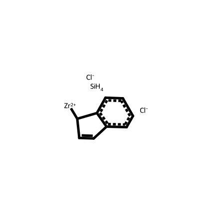 [Cl-].[Cl-].[SiH4].[Zr+2][CH]1C=Cc2ccccc21